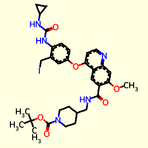 COc1cc2nccc(Oc3ccc(NC(=O)NC4CC4)c(CI)c3)c2cc1C(=O)NCC1CCN(C(=O)OC(C)(C)C)CC1